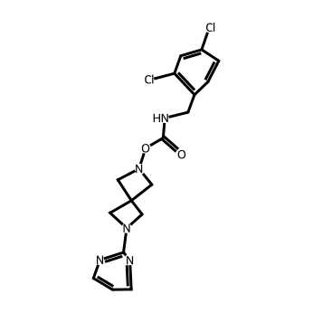 O=C(NCc1ccc(Cl)cc1Cl)ON1CC2(C1)CN(c1ncccn1)C2